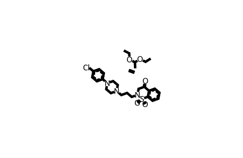 C=C.CCOC(C)OCC.O=C1CN(CCCN2CCN(c3ccc(Cl)cc3)CC2)S(=O)(=O)c2ccccc21